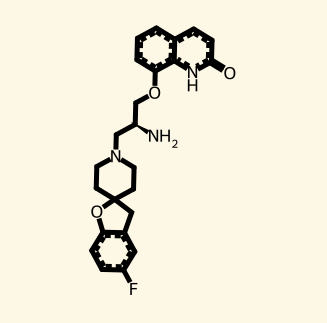 N[C@H](COc1cccc2ccc(=O)[nH]c12)CN1CCC2(CC1)Cc1cc(F)ccc1O2